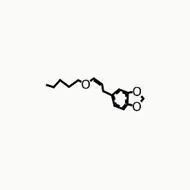 CCCCCO/C=C\Cc1ccc2c(c1)OCO2